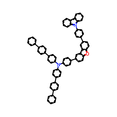 c1ccc(-c2ccc(-c3ccc(N(c4ccc(-c5ccc(-c6ccccc6)cc5)cc4)c4ccc(-c5ccc6oc7ccc(-c8ccc(-n9c%10ccccc%10c%10ccccc%109)cc8)cc7c6c5)cc4)cc3)cc2)cc1